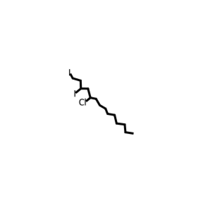 CCCCCCCCCC(Cl)CC(I)CCI